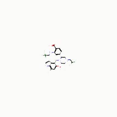 COc1cc(C)c2[nH]ccc2c1CN1CCN(CC(F)F)C[C@@H]1c1ccc(C(=O)O)c(NCC(F)(F)F)c1